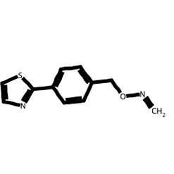 C=NOCc1ccc(-c2nccs2)cc1